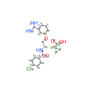 N=C(N)c1cccc(OCCNC(=O)c2ccc(Cl)cc2)c1.O=C(O)C(F)(F)F